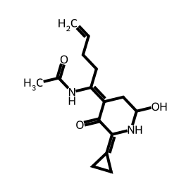 C=CCC/C(NC(C)=O)=C1\CC(O)NC(=C2CC2)C1=O